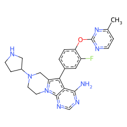 Cc1ccnc(Oc2ccc(-c3c4n(c5ncnc(N)c35)CCN(C3CCNC3)C4)cc2F)n1